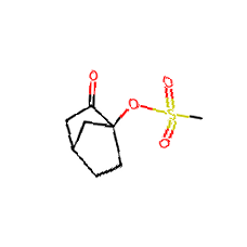 CS(=O)(=O)OC12CCC(CC1=O)C2